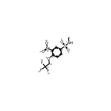 CNS(=O)(=O)c1ccc(OCC(F)(F)F)c([N+](=O)[O-])c1